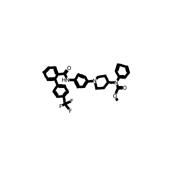 COC(=O)N(c1ccccc1)C1CCN(c2ccc(NC(=O)c3ccccc3-c3ccc(C(F)(F)F)cc3)cc2)CC1